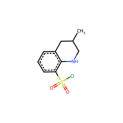 CC1CNc2c(cccc2S(=O)(=O)Cl)C1